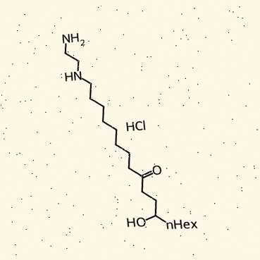 CCCCCCC(O)CCC(=O)CCCCCCCCNCCN.Cl